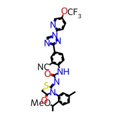 COC(C)c1ccc(C)cc1N1C(=O)CSC1=NC(=O)Nc1ccc(-c2ncn(-c3ccc(OC(F)(F)F)cn3)n2)cc1C#N